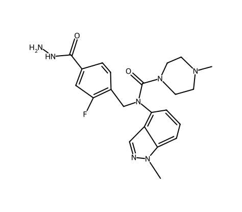 CN1CCN(C(=O)N(Cc2ccc(C(=O)NN)cc2F)c2cccc3c2cnn3C)CC1